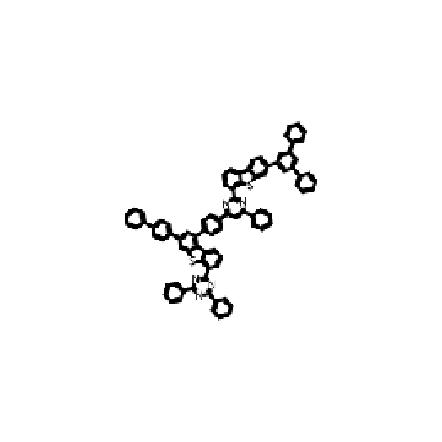 c1ccc(-c2ccc(-c3cc(-c4ccc(-c5cc(-c6ccccc6)nc(-c6cccc7c6sc6cc(-c8cc(-c9ccccc9)cc(-c9ccccc9)c8)ccc67)n5)cc4)c4c(c3)sc3c(-c5nc(-c6ccccc6)nc(-c6ccccc6)n5)cccc34)cc2)cc1